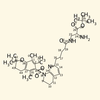 Cc1c(C)c(S(=O)(=O)N2CCCc3ccc(CCCCC(=O)NCC(N)C(=O)OC(C)(C)C)nc32)c(C)c2c1OC(C)(C)CC2